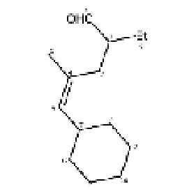 CCC(C=O)CC(C)=CC1CCCCC1